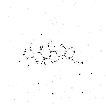 CCOc1cc(-c2cc(C(=O)O)ccc2Cl)cnc1N(C)C(=O)c1c(F)cccc1Cl